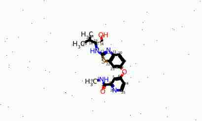 CNC(=O)c1cc(Oc2ccc3nc(N[C@@H](CO)C(C)C)sc3c2)ccn1